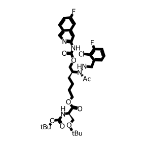 CC(=O)N(NCc1cccc(F)c1Cl)[C@@H](CCCCOC(=O)[C@@H](COC(C)(C)C)NC(=O)OC(C)(C)C)COC(=O)Nc1cc2cc(F)ccc2cn1